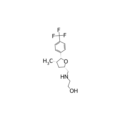 C[C@H]1C[C@@H](CNCCO)O[C@H]1c1ccc(C(F)(F)F)cc1